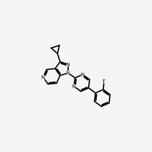 Fc1ccccc1-c1cnc(-n2nc(C3CC3)c3cn[c]cc32)nc1